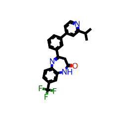 CC(C)c1cc(-c2cccc(C3=Nc4ccc(C(F)(F)F)cc4NC(=O)C3)c2)ccn1